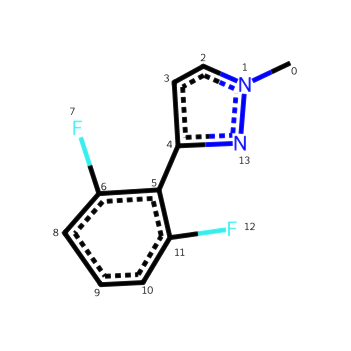 Cn1ccc(-c2c(F)cccc2F)n1